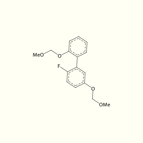 COCOc1ccc(F)c(-c2ccccc2OCOC)c1